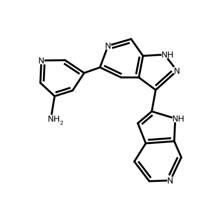 Nc1cncc(-c2cc3c(-c4cc5ccncc5[nH]4)n[nH]c3cn2)c1